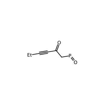 CCC#CC(=O)CP=O